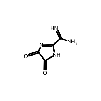 N=C(N)C1=NC(=O)C(=O)N1